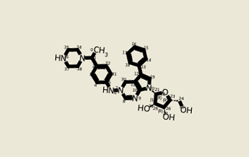 CC(c1ccc(NN2C=Nc3c(c(-c4ccccc4)cn3[C@@H]3O[C@H](CO)[C@H](O)[C@@H]3O)C2)cc1)N1CCNCC1